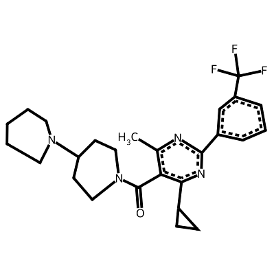 Cc1nc(-c2cccc(C(F)(F)F)c2)nc(C2CC2)c1C(=O)N1CCC(N2CCCCC2)CC1